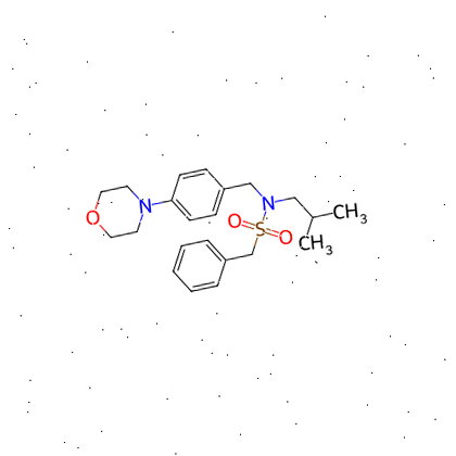 CC(C)CN(Cc1ccc(N2CCOCC2)cc1)S(=O)(=O)Cc1ccccc1